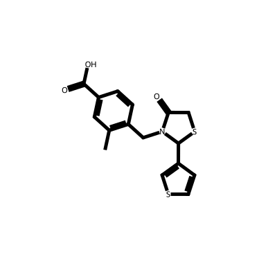 Cc1cc(C(=O)O)ccc1CN1C(=O)CSC1c1ccsc1